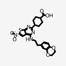 O=C(O)C1CCC(c2nc(NCCc3ccc4c(c3)OCCO4)c3cc([N+](=O)[O-])sc3n2)CC1